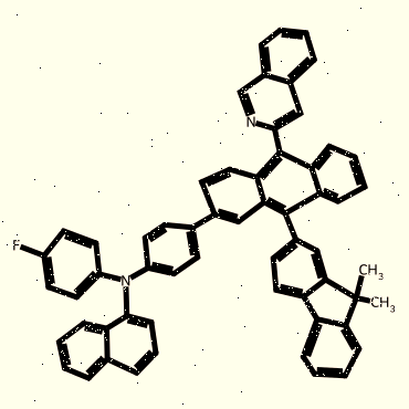 CC1(C)c2ccccc2-c2ccc(-c3c4ccccc4c(-c4cc5ccccc5cn4)c4ccc(-c5ccc(N(c6ccc(F)cc6)c6cccc7ccccc67)cc5)cc34)cc21